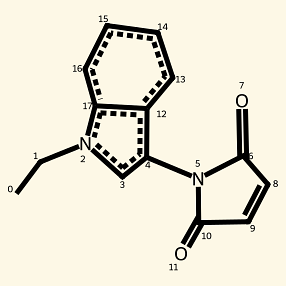 CCn1cc(N2C(=O)C=CC2=O)c2ccccc21